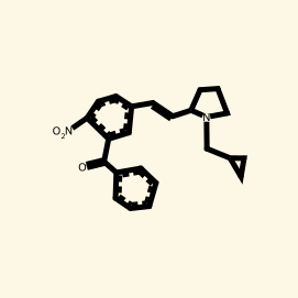 O=C(c1ccccc1)c1cc(C=CC2CCCN2CC2CC2)ccc1[N+](=O)[O-]